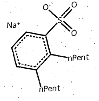 CCCCCc1cccc(S(=O)(=O)[O-])c1CCCCC.[Na+]